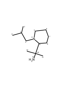 CC(C)CN1CCCCC1C(C)(C)N